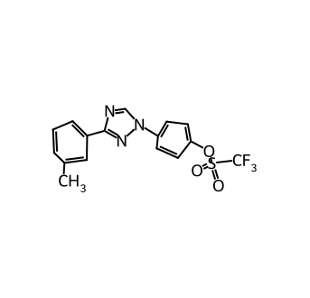 Cc1cccc(-c2ncn(-c3ccc(OS(=O)(=O)C(F)(F)F)cc3)n2)c1